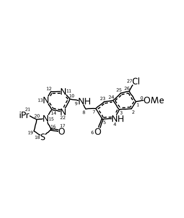 COc1cc2[nH]c(=O)c(CNc3ncnc(N4C(=O)SCC4C(C)C)n3)cc2cc1Cl